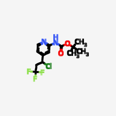 CC(C)(C)OC(=O)Nc1cc(C(Cl)CC(F)(F)F)ccn1